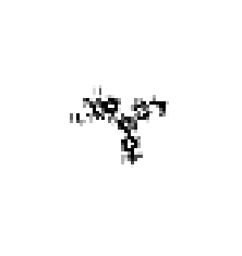 Nc1nc2c(Oc3cc(-c4ccc(C(F)(F)F)cc4)nc(N4CCN(CC5CC5)CC4)n3)cccc2[nH]c1=O